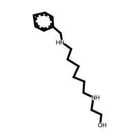 OCCNCCCCCCNCc1ccccc1